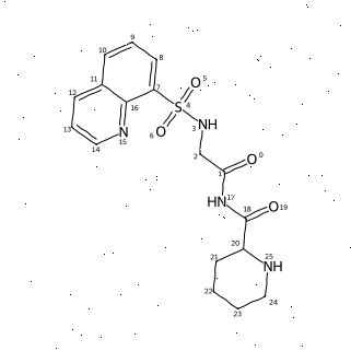 O=C(CNS(=O)(=O)c1cccc2cccnc12)NC(=O)C1CCCCN1